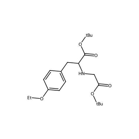 CCOc1ccc(CC(NCC(=O)OC(C)(C)C)C(=O)OC(C)(C)C)cc1